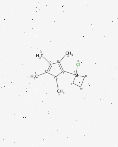 CC1=C(C)C(C)C([Si]2(Cl)CCC2)=C1C